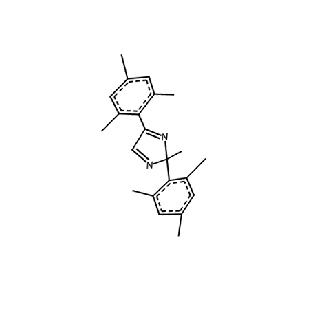 Cc1cc(C)c(C2=NC(C)(c3c(C)cc(C)cc3C)N=C2)c(C)c1